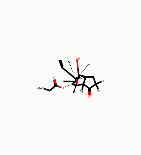 [2H]C1([2H])CC23CCC(C)[C@@](C)([C@H](OC(=O)CSC)C[C@@](C)(C=C)C(O)[C@@H]2C)C3([2H])C1=O